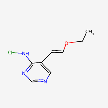 CCOC=Cc1cncnc1NCl